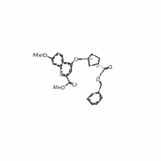 COC(=O)c1cc(O[C@H]2CC[C@H](C(=O)OCc3ccccc3)C2)c2ccc(OC)cc2n1